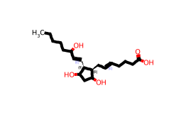 CCCCCC(O)/C=C/[C@H]1C(O)CC(O)[C@@H]1C/C=C/CCCC(=O)O